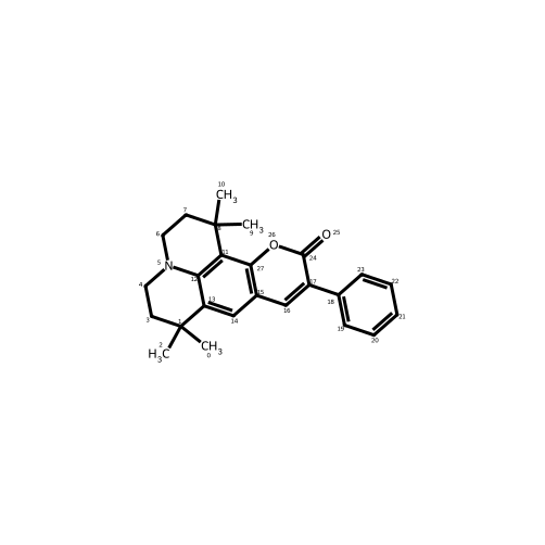 CC1(C)CCN2CCC(C)(C)c3c2c1cc1cc(-c2ccccc2)c(=O)oc31